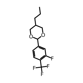 CCCC1COC(c2ccc(C(F)(F)F)c(F)c2)OC1